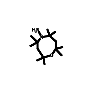 CC1(C)CC(C)(C)N(N)C(C)(C)CC(C)(C)O1